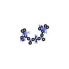 N#C/C(=C(/C#N)c1ccc(N(c2ccccc2)c2ccc(-c3cnc(/N=C4\Nc5cccc6cccc4c56)c(-c4cccc5nccnc45)c3)cc2)cc1)c1ccc(N(c2ccccc2)c2ccc(-c3cnc(/N=C4\Nc5cccc6cccc4c56)c(-c4cccc5nccnc45)c3)cc2)cc1